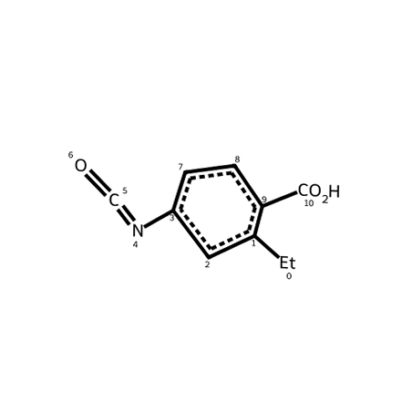 CCc1cc(N=C=O)ccc1C(=O)O